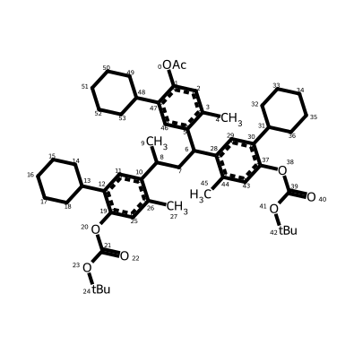 CC(=O)Oc1cc(C)c(C(CC(C)c2cc(C3CCCCC3)c(OC(=O)OC(C)(C)C)cc2C)c2cc(C3CCCCC3)c(OC(=O)OC(C)(C)C)cc2C)cc1C1CCCCC1